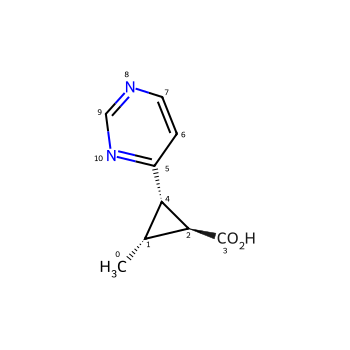 C[C@H]1[C@H](C(=O)O)[C@H]1c1ccncn1